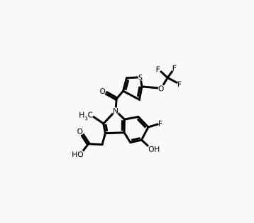 Cc1c(CC(=O)O)c2cc(O)c(F)cc2n1C(=O)c1csc(OC(F)(F)F)c1